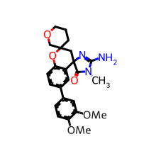 COc1ccc(-c2ccc3c(c2)C2(CC4(CCCOC4)O3)N=C(N)N(C)C2=O)cc1OC